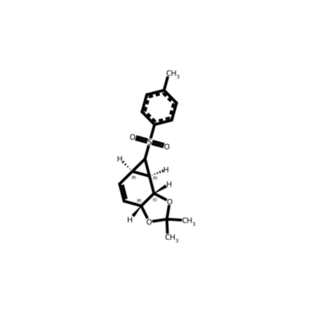 Cc1ccc(S(=O)(=O)C2[C@H]3[C@@H]4OC(C)(C)O[C@@H]4C=C[C@@H]23)cc1